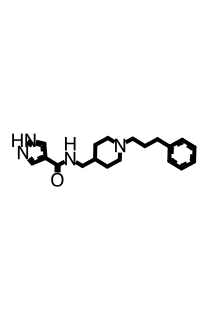 O=C(NCC1CCN(CCCc2ccccc2)CC1)c1cn[nH]c1